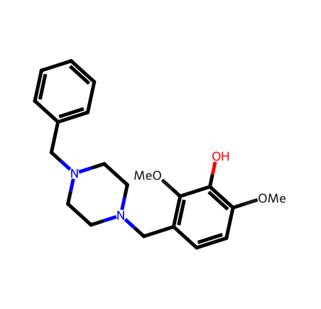 COc1ccc(CN2CCN(Cc3ccccc3)CC2)c(OC)c1O